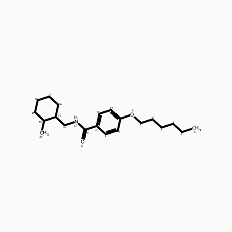 CCCCCCOc1ccc(C(=O)NCC2CCCCC2C)cc1